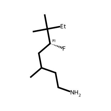 CCC(C)(C)[C@H](F)CC(C)CCN